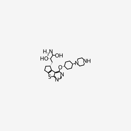 NC(O)[C@@H](O)C[C@H]1CCc2sc3ncnc(O[C@H]4CC[C@H](N5CCNCC5)CC4)c3c21